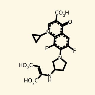 O=C(O)C=C(NC1CCN(c2c(F)cc3c(=O)c(C(=O)O)cn(C4CC4)c3c2F)C1)C(=O)O